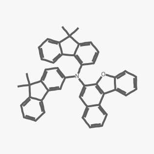 CC1(C)c2ccccc2-c2cc(N(c3cccc4c3-c3ccccc3C4(C)C)c3cc4ccccc4c4c3oc3ccccc34)ccc21